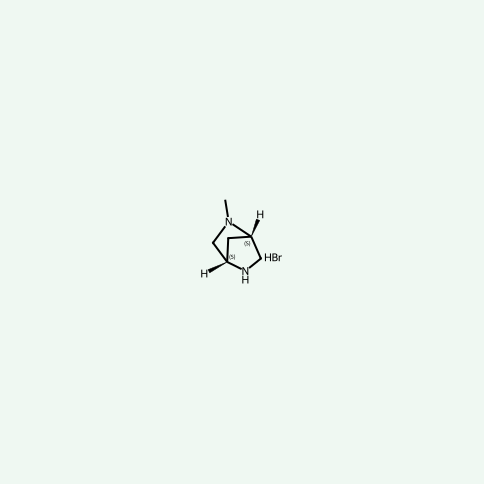 Br.CN1C[C@@H]2C[C@H]1CN2